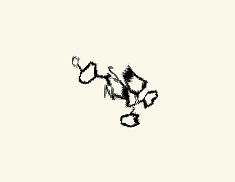 Clc1ccc(-c2nc(C[PH](c3ccccc3)(c3ccccc3)c3ccccc3)cs2)cc1